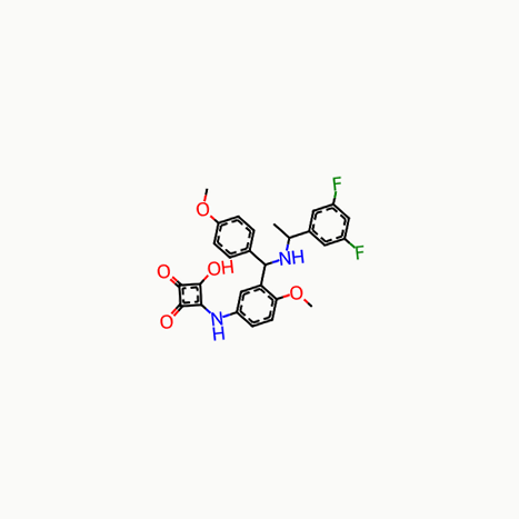 COc1ccc(C(NC(C)c2cc(F)cc(F)c2)c2cc(Nc3c(O)c(=O)c3=O)ccc2OC)cc1